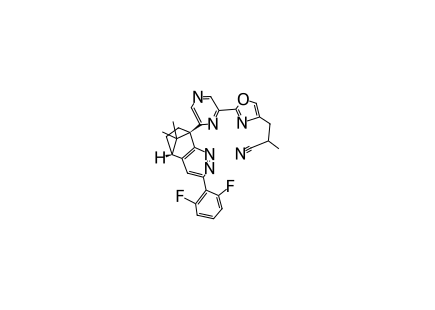 CC(C#N)Cc1coc(-c2cncc([C@@]34CC[C@@H](c5cc(-c6c(F)cccc6F)nnc53)C4(C)C)n2)n1